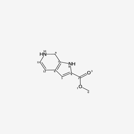 COC(=O)c1cc2c([nH]1)CNC=C2